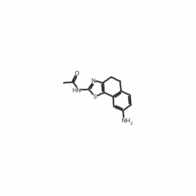 CC(=O)Nc1nc2c(s1)-c1cc(N)ccc1CC2